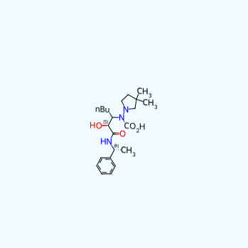 CCCCC([C@H](O)C(=O)N[C@H](C)c1ccccc1)N(C(=O)O)N1CCC(C)(C)C1